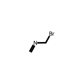 C=NCBr